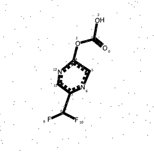 O=C(O)Oc1cnc(C(F)F)cn1